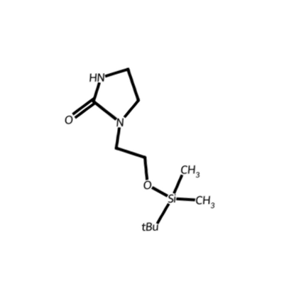 CC(C)(C)[Si](C)(C)OCCN1CCNC1=O